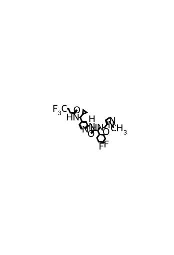 Cn1nccc1C(=O)NC(C(=O)Nc1cc(C(NC(=O)CCC(F)(F)F)C2CC2)ccn1)C1CCC(F)(F)CC1